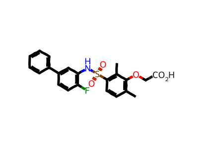 Cc1ccc(S(=O)(=O)Nc2cc(-c3ccccc3)ccc2F)c(C)c1OCC(=O)O